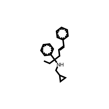 CCC(CC=Cc1ccccc1)(NCC1CC1)c1ccccc1